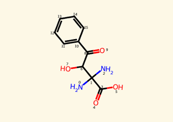 NC(N)(C(=O)O)C(O)C(=O)c1ccccc1